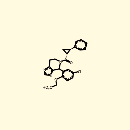 O=C(O)COc1ccc(Cl)cc1C1c2scnc2CCN1C(=O)[C@@H]1C[C@H]1c1ccccc1